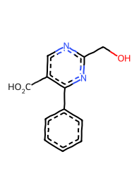 O=C(O)c1cnc(CO)nc1-c1ccccc1